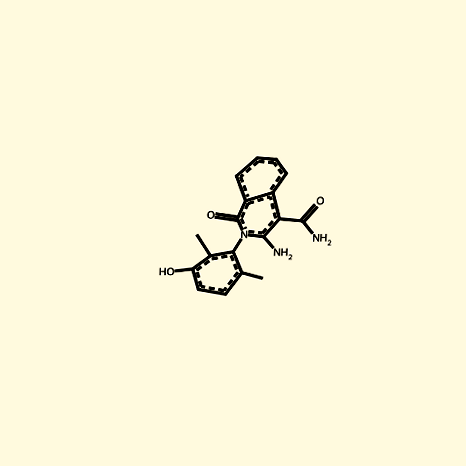 Cc1ccc(O)c(C)c1-n1c(N)c(C(N)=O)c2ccccc2c1=O